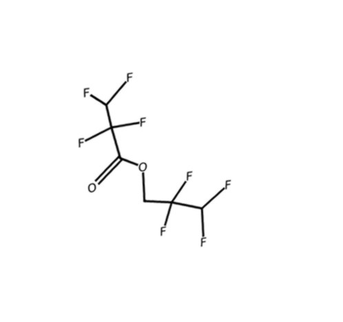 O=C(OCC(F)(F)C(F)F)C(F)(F)C(F)F